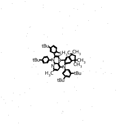 Cc1cc2c3c(n1)N(c1ccc(C(C)(C)C)cc1)c1c(sc4ccc(C(C)(C)C)cc14)B3c1cc3c(cc1N2c1cc(C(C)(C)C)cc(C(C)(C)C)c1)C(C)(C)CC3(C)C